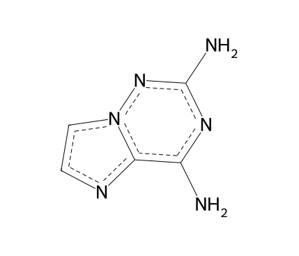 Nc1nc(N)c2nccn2n1